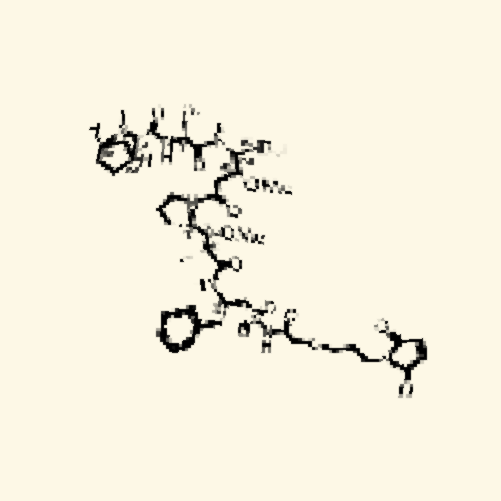 CC[C@H](C)[C@@H]([C@@H](CC(=O)N1CCC[C@H]1[C@H](OC)[C@@H](C)C(=O)N[C@@H](Cc1ccccc1)CS(=O)(=O)NC(=O)CCCCCN1C(=O)C=CC1=O)OC)N(C)C(=O)[C@@H](NC(=O)[C@@H]1[C@H]2CC[C@H](C2)N1C)C(C)C